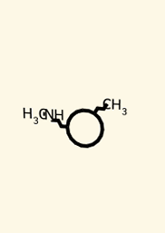 CCCC1CCCCCCCCCCCC(CCCNC)CCCCC1